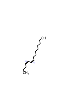 CCC/C=C\C=C/CCCCCCCO